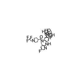 O=C(C1CCN(CC(F)(F)F)CC1)N1Cc2cc(F)cnc2Nc2cc(F)c(N3[C@@H]4CO[C@H]5[C@@H]4OC[C@H]53)cc21